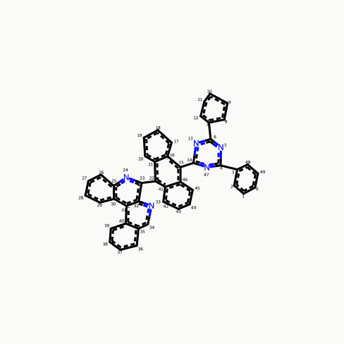 c1ccc(-c2nc(-c3ccccc3)nc(-c3c4ccccc4c(-c4nc5ccccc5c5c4ncc4ccccc45)c4ccccc34)n2)cc1